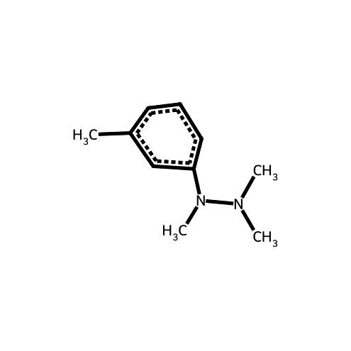 Cc1cccc(N(C)N(C)C)c1